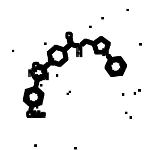 COc1ccc(-c2noc(N3CCC(C(=O)NCC4CCN(c5ccccc5)C4)CC3)n2)cc1